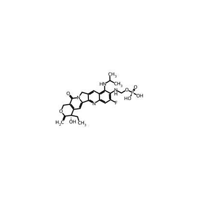 C=C1OCc2c(cc3n(c2=O)Cc2cc4c(NC(C)C)c(NCOP(=O)(O)O)c(F)cc4nc2-3)[C@@]1(O)CC